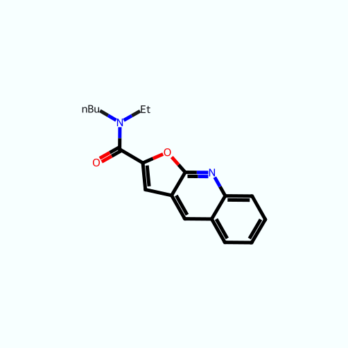 CCCCN(CC)C(=O)c1cc2cc3ccccc3nc2o1